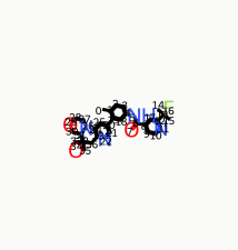 Cc1ccc(NC(=O)c2ccnc(C(C)(C)F)c2)cc1-c1cnc2c(c1)N1CCOCC1C1(COC1)C2